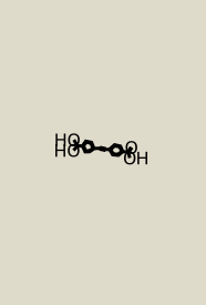 O=C(O)c1ccc(C#Cc2ccc(C(O)O)cc2)cc1